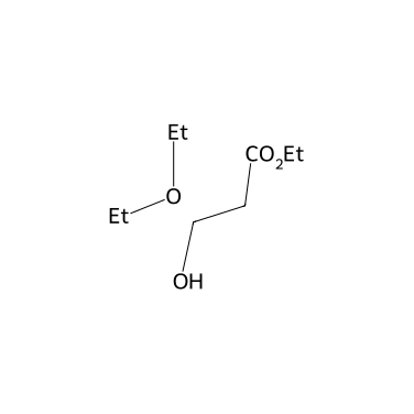 CCOC(=O)CCO.CCOCC